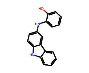 Oc1ccccc1Nc1ccc2[nH]c3ccccc3c2c1